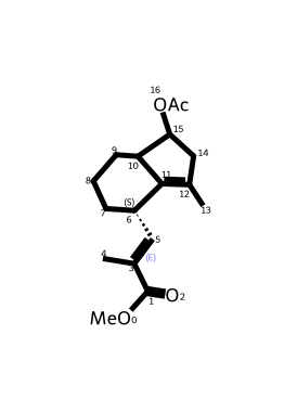 COC(=O)/C(C)=C/[C@@H]1CCCC2C1=C(C)CC2OC(C)=O